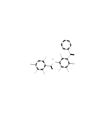 Cc1cc(C)c(C(=O)[PH](=O)c2c(C)c(C)c(C)c(C(=O)c3ccccc3)c2C)c(C)c1C